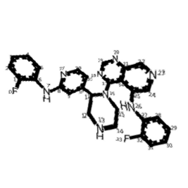 Fc1ccccc1Nc1cc(C2CNCCN2c2ncnc3cncc(Nc4ccccc4F)c23)ccn1